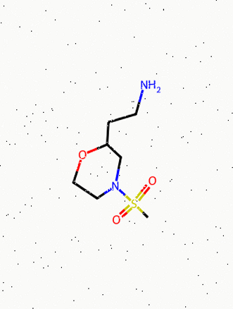 CS(=O)(=O)N1CCOC(CCN)C1